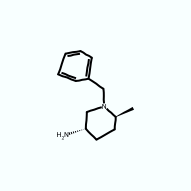 C[C@H]1CC[C@H](N)CN1Cc1ccccc1